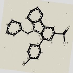 O=C(O)c1cc2c3ccccc3n(Cc3ccccc3)c2c(-c2ccc(Cl)cc2)n1